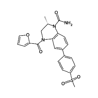 C[C@H]1CN(C(=O)c2ccco2)c2cc(-c3ccc(S(C)(=O)=O)cc3)ccc2N1C(N)=O